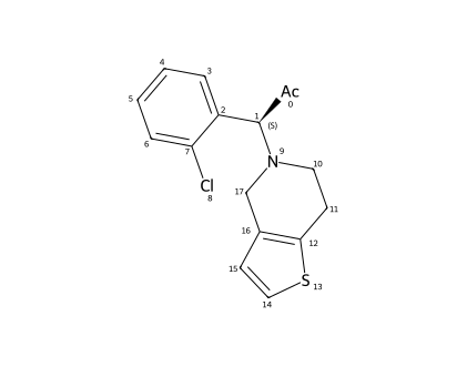 CC(=O)[C@H](c1ccccc1Cl)N1CCc2sccc2C1